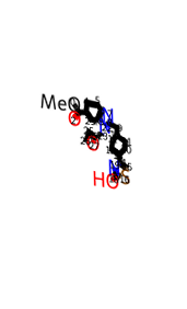 COC(=O)c1ccc2nc(CC3CC=C(c4csc(O)n4)CC3)n(C[C@@H]3CCO3)c2c1